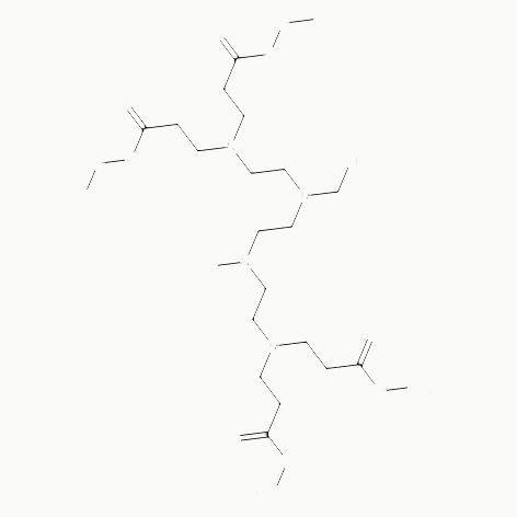 CCN(CCN(C)CCN(CCC(=O)OC)CCC(=O)OC)CCN(CCC(=O)OOI)CCC(=O)OOI